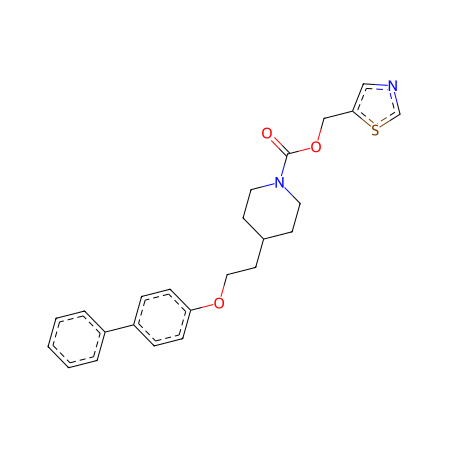 O=C(OCc1cncs1)N1CCC(CCOc2ccc(-c3ccccc3)cc2)CC1